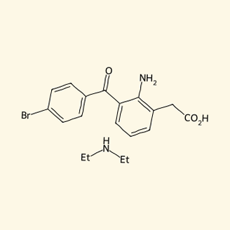 CCNCC.Nc1c(CC(=O)O)cccc1C(=O)c1ccc(Br)cc1